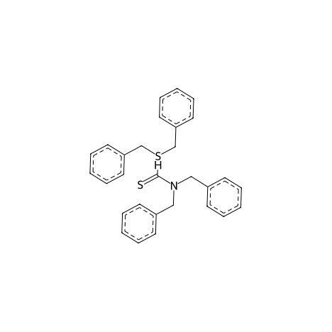 S=C(N(Cc1ccccc1)Cc1ccccc1)[SH](Cc1ccccc1)Cc1ccccc1